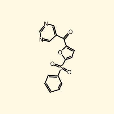 O=C(c1cncnc1)c1ccc(S(=O)(=O)c2ccccc2)o1